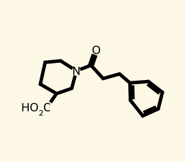 O=C(O)C1CCCN(C(=O)CCc2ccccc2)C1